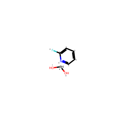 Fc1ccccn1.OBO